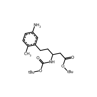 Cc1ccc(N)cc1CCC(CC(=O)OC(C)(C)C)NC(=O)OC(C)(C)C